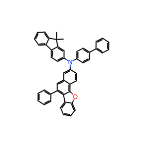 CC1(C)c2ccccc2-c2ccc(N(c3ccc(-c4ccccc4)cc3)c3ccc4c(c3)cc(-c3ccccc3)c3c5ccccc5oc43)cc21